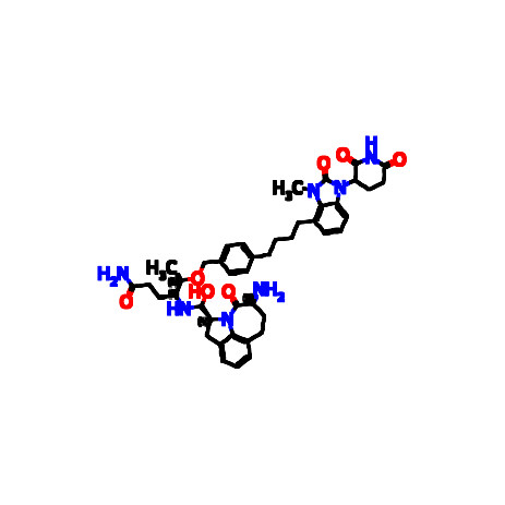 C[C@@H](OCc1ccc(CCCCc2cccc3c2n(C)c(=O)n3C2CCC(=O)NC2=O)cc1)[C@H](CCC(N)=O)NC(O)[C@@H]1Cc2cccc3c2N1C(=O)[C@@H](N)CC3